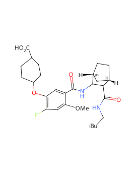 CCC(C)CNC(=O)C1C(NC(=O)c2cc(OC3CCC(C(=O)O)CC3)c(F)cc2OC)[C@@H]2CC[C@H]1C2